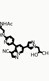 CC(=O)NCCNc1ccc(-c2cc(-c3cnn(CC(C)O)c3)cn3ncc(C#N)c23)cn1